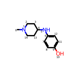 CN1CCC(Nc2ccc(O)cc2)CC1